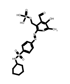 Cc1nc(N=Nc2ccc(S(=O)(=O)NC3CCCCC3)cc2)c(COP(=O)(O)O)c(C=O)c1O